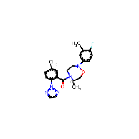 Cc1ccc(-n2nccn2)c(C(=O)N2CCN(c3ccc(F)c(C)c3)OC[C@H]2C)c1